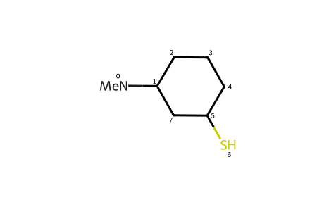 CNC1CCCC(S)C1